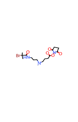 CN(CCCNC(=O)C(C)(C)Br)CCCC(=O)ON1C(=O)CCC1=O